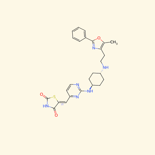 Cc1oc(-c2ccccc2)nc1CCN[C@H]1CC[C@H](Nc2nccc(/C=C3\SC(=O)NC3=O)n2)CC1